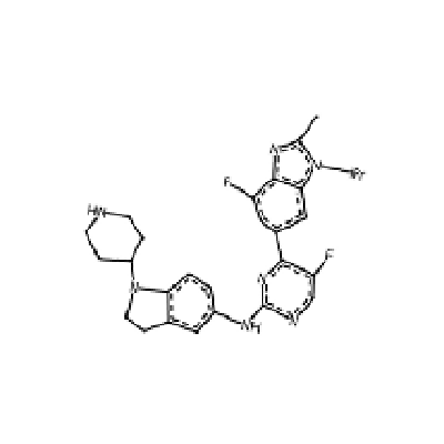 Cc1nc2c(F)cc(-c3nc(Nc4ccc5c(c4)CCN5C4CCNCC4)ncc3F)cc2n1C(C)C